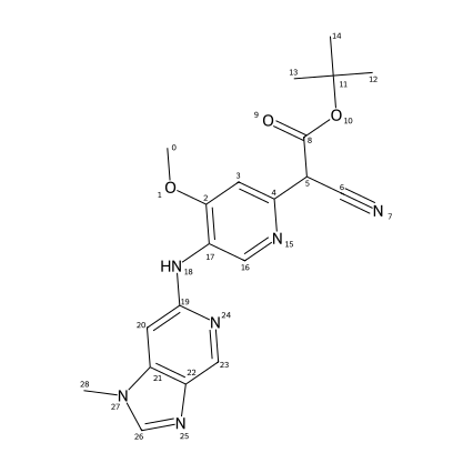 COc1cc(C(C#N)C(=O)OC(C)(C)C)ncc1Nc1cc2c(cn1)ncn2C